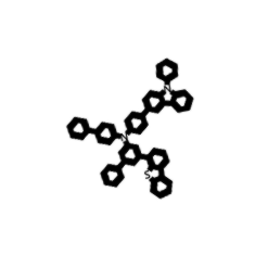 c1ccc(-c2ccc(N(c3ccc(-c4ccc5c(c4)c4ccccc4n5-c4ccccc4)cc3)c3cc(-c4ccccc4)cc(-c4cccc5c4sc4ccccc45)c3)cc2)cc1